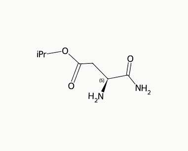 CC(C)OC(=O)C[C@H](N)C(N)=O